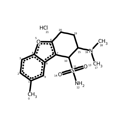 Cc1ccc2oc3c(c2c1)C(S(N)(=O)=O)C(N(C)C)CC3.Cl